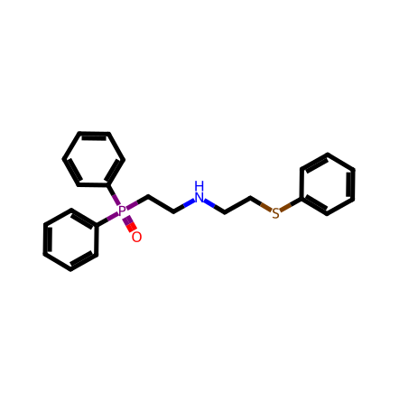 O=P(CCNCCSc1ccccc1)(c1ccccc1)c1ccccc1